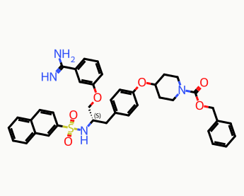 N=C(N)c1cccc(OC[C@H](Cc2ccc(OC3CCN(C(=O)OCc4ccccc4)CC3)cc2)NS(=O)(=O)c2ccc3ccccc3c2)c1